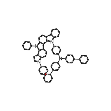 c1ccc(-c2ccc(N(c3ccc(-c4ccccc4)cc3)c3ccc(-n4c5ccccc5c5ccc6c(c7ccc8c(ccn8-c8ccccc8)c7n6-c6ccccc6)c54)cc3)cc2)cc1